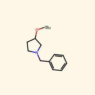 CC(C)(C)OC1CCN(Cc2ccccc2)C1